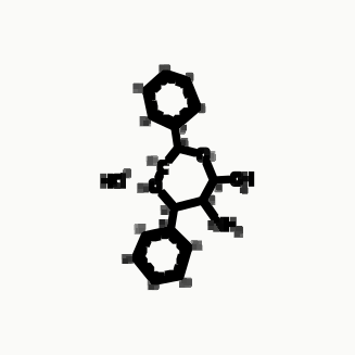 Cl.NC1C(O)OC(c2ccccc2)COC1c1ccccc1